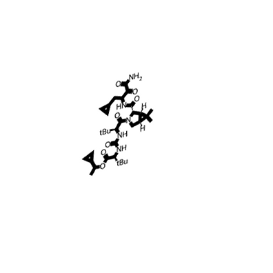 CC(OC(=O)[C@@H](NC(=O)N[C@H](C(=O)N1C[C@H]2[C@@H]([C@H]1C(=O)NC(CC1CC1)C(=O)C(N)=O)C2(C)C)C(C)(C)C)C(C)(C)C)C1CC1